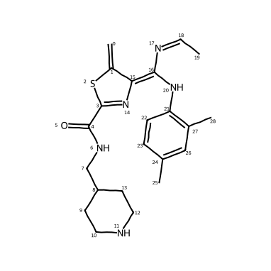 C=c1sc(C(=O)NCC2CCNCC2)n/c1=C(/N=C\C)Nc1ccc(C)cc1C